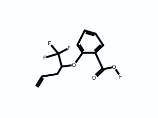 C=CCC(Oc1ccccc1C(=O)OF)C(F)(F)F